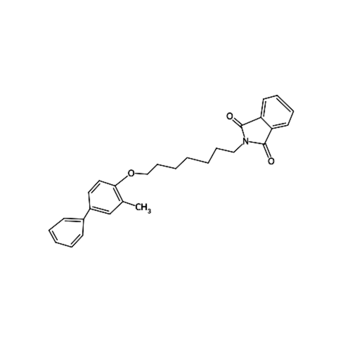 Cc1cc(-c2ccccc2)ccc1OCCCCCCCN1C(=O)c2ccccc2C1=O